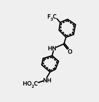 O=C(O)Nc1ccc(NC(=O)c2cccc(C(F)(F)F)c2)cc1